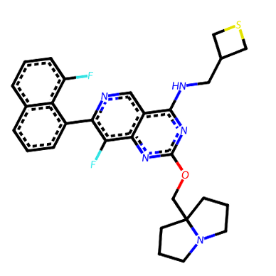 Fc1c(-c2cccc3cccc(F)c23)ncc2c(NCC3CSC3)nc(OCC34CCCN3CCC4)nc12